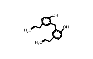 C=CCc1ccc(O)c(Cc2cc(CC=C)ccc2O)c1